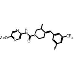 COc1cnc(NC(=O)N2CCC(=Cc3cc(F)cc(C(F)(F)F)c3)C(C)C2)cn1